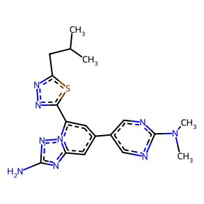 CC(C)Cc1nnc(-c2cc(-c3cnc(N(C)C)nc3)cc3nc(N)nn23)s1